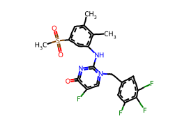 Cc1cc(S(C)(=O)=O)cc(Nc2nc(=O)c(F)cn2Cc2cc(F)c(F)c(F)c2)c1C